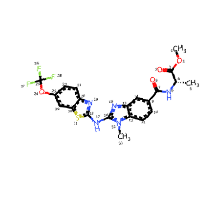 COC(=O)[C@H](C)NC(=O)c1ccc2c(c1)nc(Nc1nc3ccc(OC(F)(F)F)cc3s1)n2C